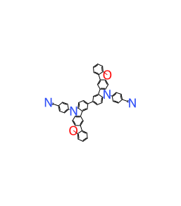 N#Cc1ccc(-n2c3ccc(-c4ccc5c(c4)c4cc6c(cc4n5-c4ccc(C#N)cc4)oc4ccccc46)cc3c3cc4c(cc32)oc2ccccc24)cc1